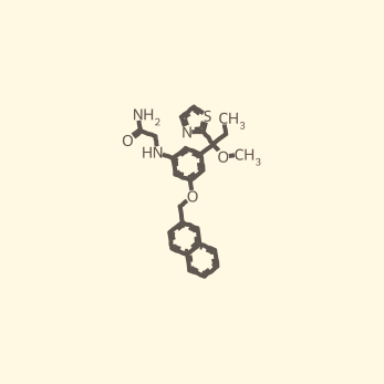 CCC(OC)(c1cc(NCC(N)=O)cc(OCc2ccc3ccccc3c2)c1)c1nccs1